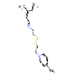 C=C/C(C)=C\C=N\CCSSCC[n+]1ccc(C)cc1